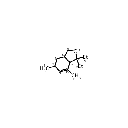 CCC1(CC)OCC2CC(C)C=C(C)C21